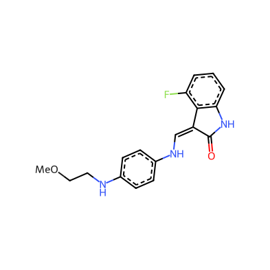 COCCNc1ccc(NC=C2C(=O)Nc3cccc(F)c32)cc1